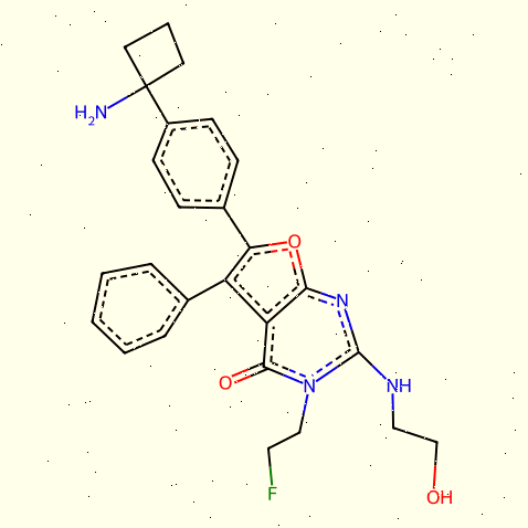 NC1(c2ccc(-c3oc4nc(NCCO)n(CCF)c(=O)c4c3-c3ccccc3)cc2)CCC1